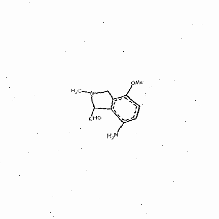 COc1ccc(N)c2c1CN(C)C2C=O